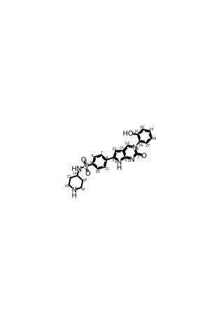 O=c1nc2[nH]c(-c3ccc(S(=O)(=O)NC4CCNCC4)cc3)cc2cn1-c1ccccc1O